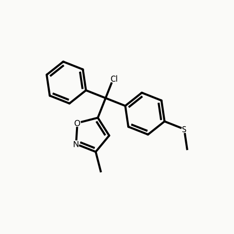 CSc1ccc(C(Cl)(c2ccccc2)c2cc(C)no2)cc1